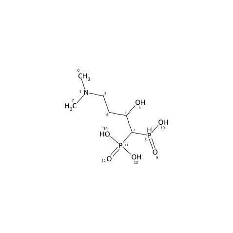 CN(C)CCC(O)C([PH](=O)O)P(=O)(O)O